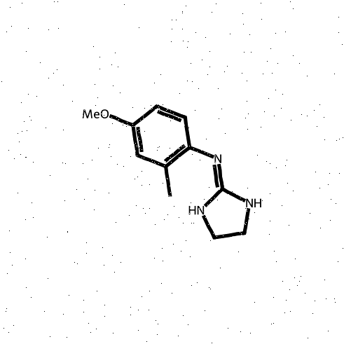 COc1ccc(N=C2NCCN2)c(C)c1